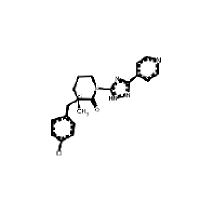 C[C@@]1(Cc2ccc(Cl)cc2)CCCN(c2nc(-c3ccncc3)n[nH]2)C1=O